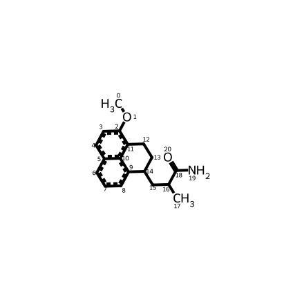 COc1ccc2cccc3c2c1CCC3CC(C)C(N)=O